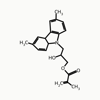 C=C(C)C(=O)OCC(O)CN1c2ccc(C)cc2C2C=C(C)C=CC21